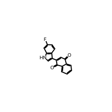 O=C1C=C(c2c[nH]c3cc(F)ccc23)C(=O)c2ccccc21